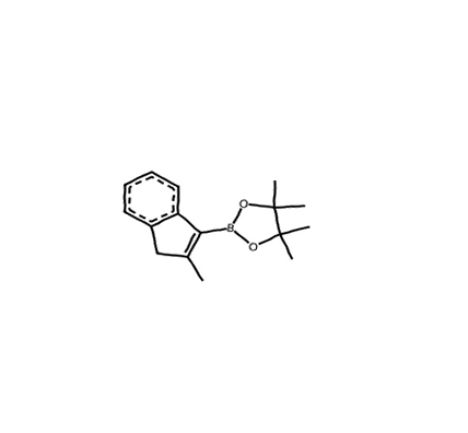 CC1=C(B2OC(C)(C)C(C)(C)O2)c2ccccc2C1